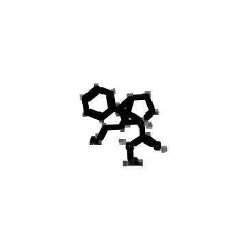 CC(=O)CCC1(c2ccccc2)C2CC[N+]1(C(=O)OC(C)(C)C)CC2